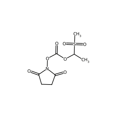 CC(OC(=O)ON1C(=O)CCC1=O)S(C)(=O)=O